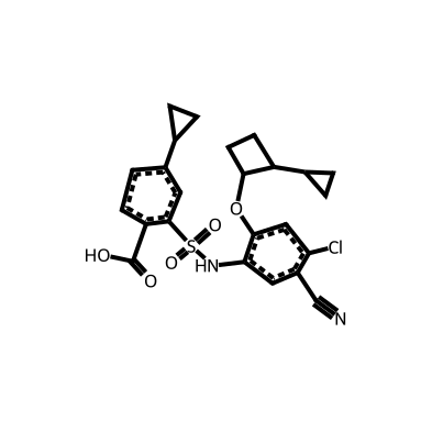 N#Cc1cc(NS(=O)(=O)c2cc(C3CC3)ccc2C(=O)O)c(OC2CCC2C2CC2)cc1Cl